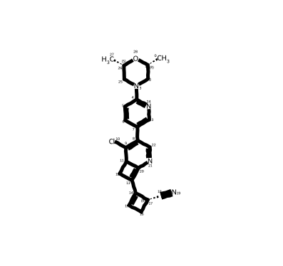 C[C@@H]1CN(c2ccc(C3=C(Cl)C4CC(C5=CC[C@H]5C#N)=C4N=C3)cn2)C[C@H](C)O1